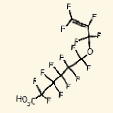 O=C(O)C(F)(F)C(F)(F)C(F)(F)C(F)(F)C(F)(F)OC(F)(F)C(F)=C(F)F